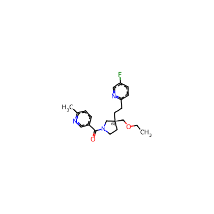 CCOC[C@@]1(CCc2ccc(F)cn2)CCN(C(=O)c2ccc(C)nc2)C1